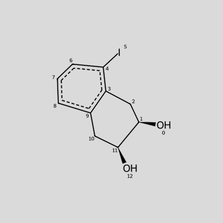 O[C@@H]1Cc2c(I)cccc2C[C@@H]1O